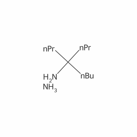 CCCCC(N)(CCC)CCC.N